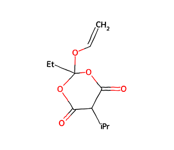 C=COC1(CC)OC(=O)C(C(C)C)C(=O)O1